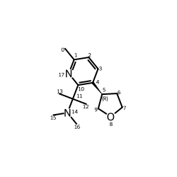 Cc1ccc([C@H]2CCOC2)c(C(C)(C)N(C)C)n1